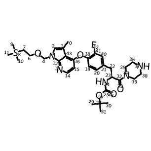 Cc1cn(COCCS(C)(C)C)c2nccc(Oc3ccc(C[C@H](NC(=O)OC(C)(C)C)C(=O)N4CCNCC4)cc3F)c12